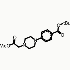 COC(=O)CN1CCN(c2ccc(C(=O)OC(C)(C)C)cc2)CC1